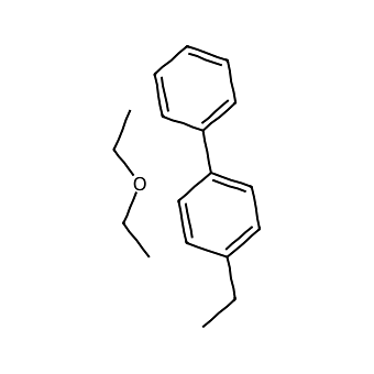 CCOCC.CCc1ccc(-c2ccccc2)cc1